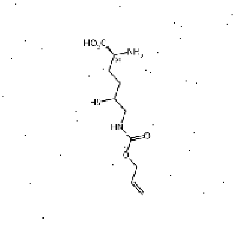 C=CCOC(=O)NCC(S)CC[C@H](N)C(=O)O